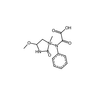 COC1C[N+](C)(N(C(=O)C(=O)O)c2ccccc2)C(=O)N1